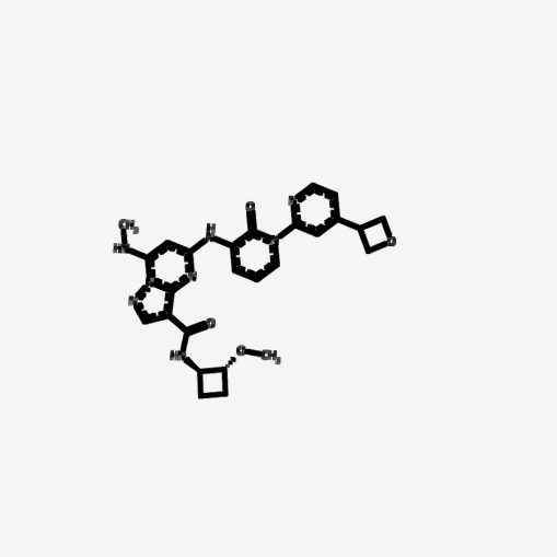 CNc1cc(Nc2cccn(-c3cc(C4COC4)ccn3)c2=O)nc2c(C(=O)N[C@@H]3CC[C@H]3OC)cnn12